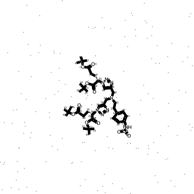 CC(C)(C)OC(=O)CC[C@@H](C(=O)OC(C)(C)C)n1cc(CN(CCc2ccc(N[SH](=O)=O)cc2)Cc2cn([C@@H](CCC(=O)OC(C)(C)C)C(=O)OC(C)(C)C)nn2)nn1